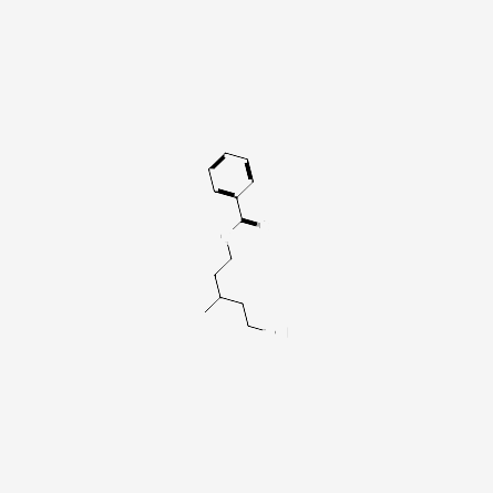 CC(CCO)CCOC(=O)c1ccccc1